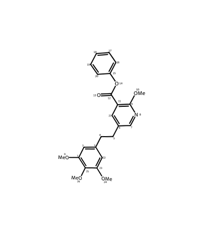 COc1cc(CCc2cnc(OC)c(C(=O)Oc3ccccc3)c2)cc(OC)c1OC